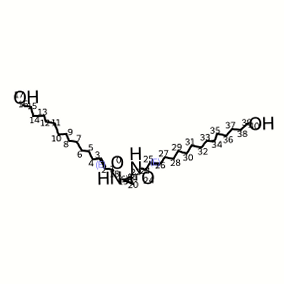 O=C(/C=C/CCCCCCCCCCCCCO)N[C@H]1C[C@H]1NC(=O)/C=C/CCCCCCCCCCCCCO